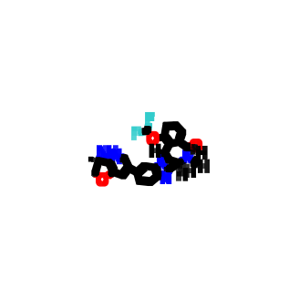 [2H]C([2H])([2H])N1C(=O)c2cccc(OC(F)F)c2[C@H]2C[C@@H]1c1nc3ccc(-c4cnc5c(c4)OC[C@@]5(C)N)cc3n12